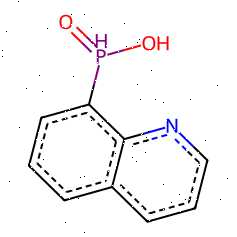 O=[PH](O)c1cccc2cccnc12